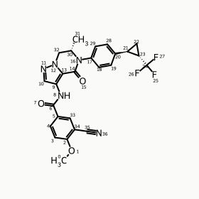 COc1ccc(C(=O)Nc2cnn3c2C(=O)N(c2ccc([C@H]4C[C@@H]4C(F)(F)F)cc2)[C@@H](C)C3)cc1C#N